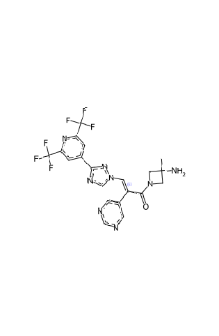 CC1(N)CN(C(=O)/C(=C/n2cnc(-c3cc(C(F)(F)F)nc(C(F)(F)F)c3)n2)c2cncnc2)C1